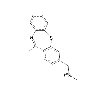 CNCc1ccc2c(c1)Sc1ccccc1N=C2C